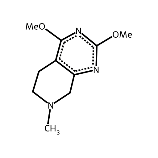 COc1nc2c(c(OC)n1)CCN(C)C2